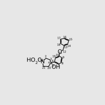 O=C(O)N1CCC(O)(c2cccc(OCc3ccccc3)c2)CC1